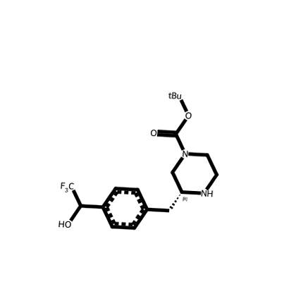 CC(C)(C)OC(=O)N1CCN[C@H](Cc2ccc(C(O)C(F)(F)F)cc2)C1